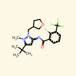 Cn1c(C(C)(C)C)cc(=NC(=O)c2cccc(C(F)(F)F)c2F)n1CC1CCOC1